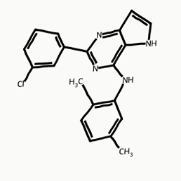 Cc1ccc(C)c(Nc2nc(-c3cccc(Cl)c3)nc3cc[nH]c23)c1